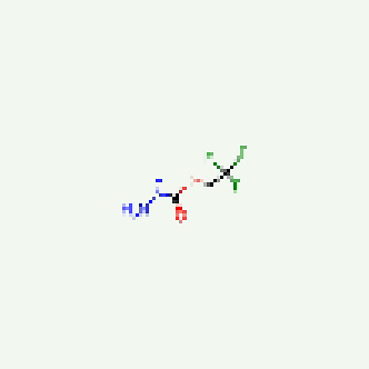 NNC(=O)OCC(F)(F)F